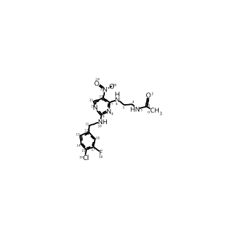 CC(=O)NCCNc1nc(NCc2ccc(Cl)c(F)c2)ncc1[N+](=O)[O-]